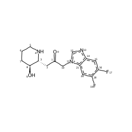 O=C(C[C@H]1NCCC[C@@H]1O)Cn1cnc2cc(F)c(F)cc21